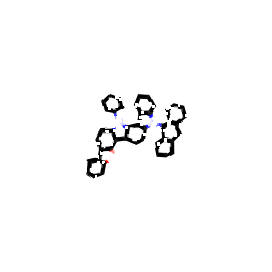 c1ccc(-n2c3ccc4c5ccccc5oc4c3c3ccc4c(c5ccccc5n4-c4c5ccccc5cc5ccccc45)c32)cc1